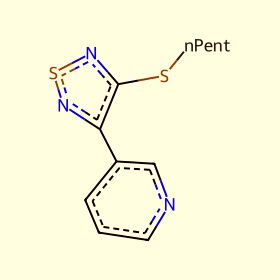 CCCCCSc1nsnc1-c1cccnc1